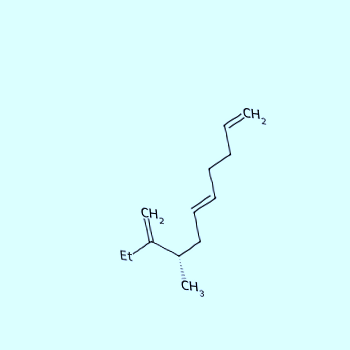 C=CCC/C=C/C[C@H](C)C(=C)CC